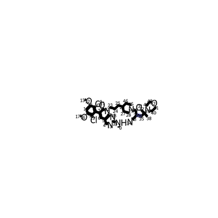 CNc1ncc2cc(-c3c(Cl)c(OC)cc(OC)c3Cl)c(=O)n(CCCC3CCN(C(=O)/C(C#N)=C\C(C)(C)N4CCOCC4)CC3)c2n1